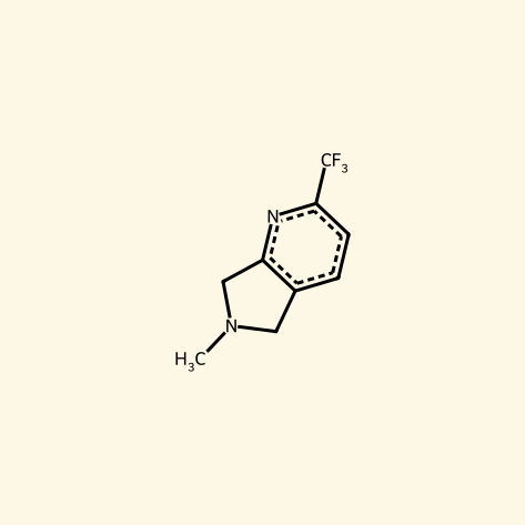 CN1Cc2ccc(C(F)(F)F)nc2C1